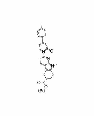 Cc1ccc(-c2ccn(-c3ccc4c5c(n(C)c4n3)CCN(C(=O)OC(C)(C)C)C5)c(=O)c2)nc1